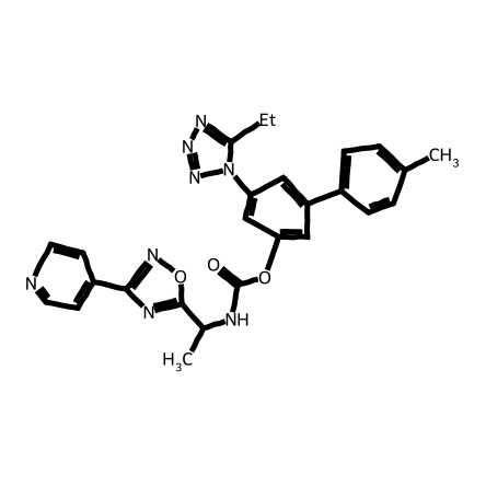 CCc1nnnn1-c1cc(OC(=O)NC(C)c2nc(-c3ccncc3)no2)cc(-c2ccc(C)cc2)c1